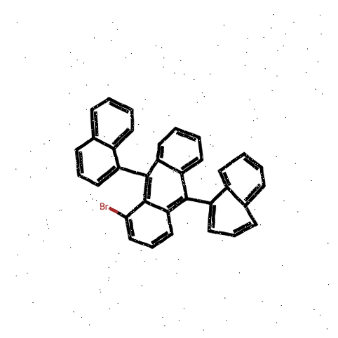 Brc1cccc2c(-c3cccc4ccccc34)c3ccccc3c(-c3cccc4ccccc34)c12